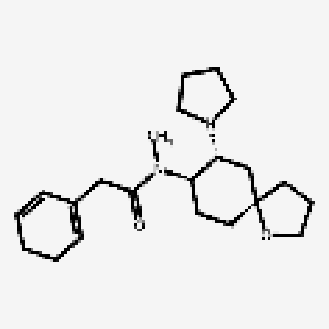 CN(C(=O)CC1=CCCC=C1)[C@@H]1CC[C@]2(CCCO2)C[C@H]1N1CCCC1